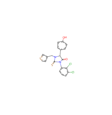 O=C1C(c2ccc(O)cc2)N(Cc2ccsc2)C(=S)N1c1cccc(Cl)c1Cl